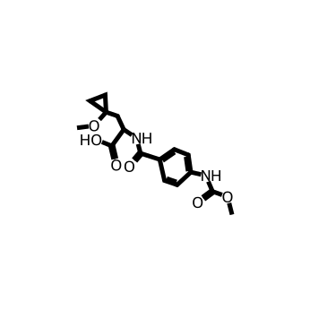 COC(=O)Nc1ccc(C(=O)NC(CC2(OC)CC2)C(=O)O)cc1